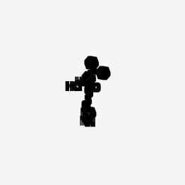 Cl.O=C(OCCCOc1ccc2ncnn2n1)C1CN(C(c2ccccc2)c2ccccc2)CCN1